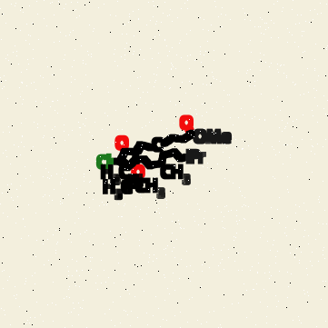 COC(=O)CCCCCC=C1C(=O)C(Cl)=CC1(CCC(C)CCCC(C)C)O[Si](C)(C)C